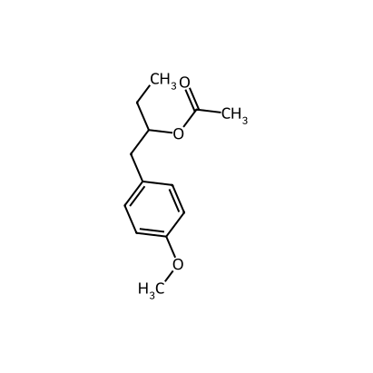 CCC(Cc1ccc(OC)cc1)OC(C)=O